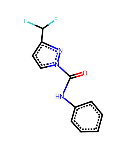 O=C(Nc1ccccc1)n1ccc(C(F)F)n1